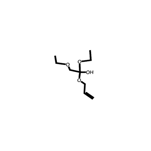 C=CCOC(O)(COCC)OCC